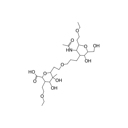 CCOCCC1OC(CO)C(O)C(CCCOCCC2OC(C(=O)O)C(CCOCC)C(O)C2(C)O)C1NC(C)=O